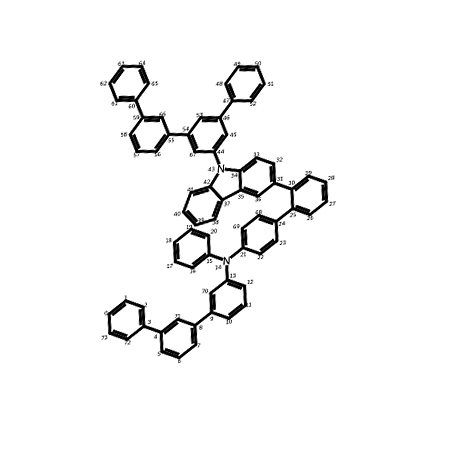 c1ccc(-c2cccc(-c3cccc(N(c4ccccc4)c4ccc(-c5ccccc5-c5ccc6c(c5)c5ccccc5n6-c5cc(-c6ccccc6)cc(-c6cccc(-c7ccccc7)c6)c5)cc4)c3)c2)cc1